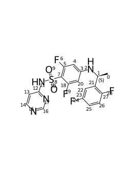 C[C@H](Nc1cc(F)c(S(=O)(=O)Nc2ccncn2)c(F)c1)c1cc(F)ccc1F